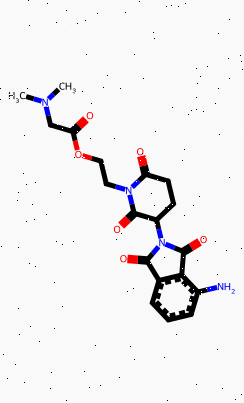 CN(C)CC(=O)OCCN1C(=O)CCC(N2C(=O)c3cccc(N)c3C2=O)C1=O